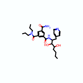 CCCCC(O)C(O)C(Cc1ccncc1)NC(=O)c1cc(C(N)=O)cc(C(=O)N(CCC)CCC)c1